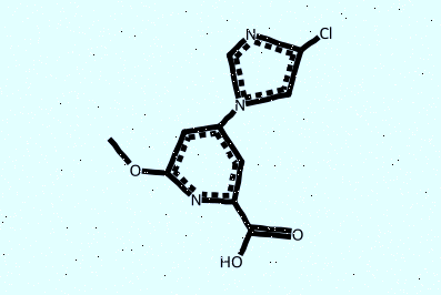 COc1cc(-n2cnc(Cl)c2)cc(C(=O)O)n1